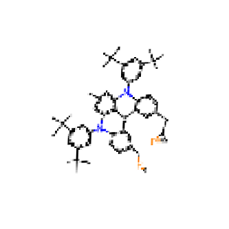 C=PCc1ccc2c(c1)B1c3cc(CC4C=P4)ccc3N(c3cc(C(C)(C)C)cc(C(C)(C)C)c3)c3cc(C)cc(c31)N2c1cc(C(C)(C)C)cc(C(C)(C)C)c1